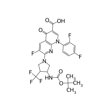 CC(C)(C)OC(=O)NC1CN(c2nc3c(cc2F)c(=O)c(C(=O)O)cn3-c2ccc(F)cc2F)CC1C(F)(F)F